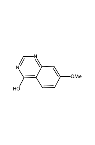 COc1ccc2c(O)ncnc2c1